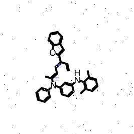 C=C/C(=C\C=C(/C)N(c1ccccc1)c1cccc(Nc2c(C)cccc2C)c1)c1cc2ccccc2o1